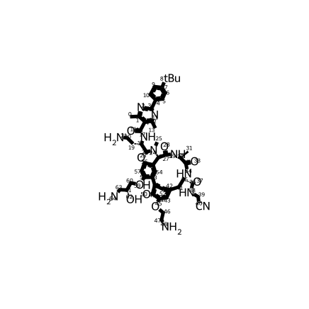 Cc1nc(-c2ccc(C(C)(C)C)cc2)nc(C)c1C(=O)N[C@@H](CCN)C(=O)N(C)[C@@H]1C(=O)N[C@@H](C)C(=O)N[C@H](C(=O)NCC#N)Cc2cc(OCCN)c(O)c(c2)-c2cc1ccc2OC[C@H](O)CN